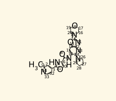 Cc1cc(C2NC(C(=O)Nc3cc4oc(N5CCOCC5)nc4nc3N3CCCC3)=CO2)ccn1